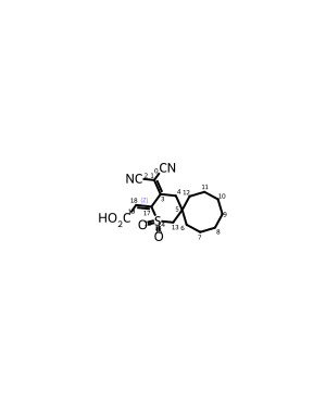 N#CC(C#N)=C1CC2(CCCCCCC2)CS(=O)(=O)/C1=C\C(=O)O